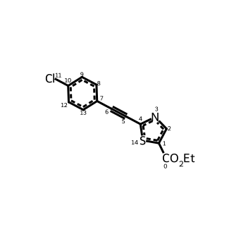 CCOC(=O)c1cnc(C#Cc2ccc(Cl)cc2)s1